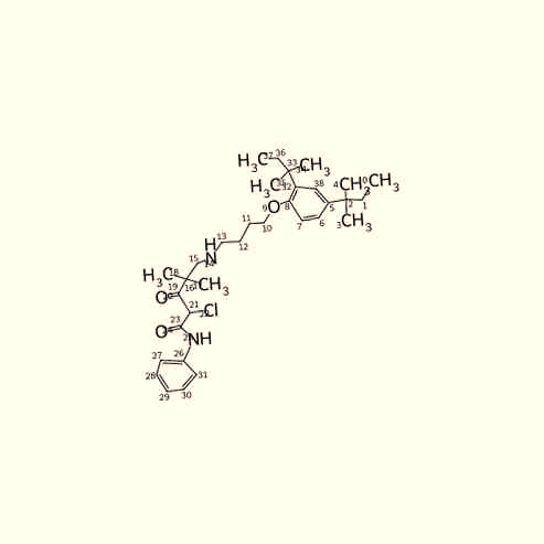 CCC(C)(C)c1ccc(OCCCCNCC(C)(C)C(=O)C(Cl)C(=O)Nc2ccccc2)c(C(C)(C)CC)c1